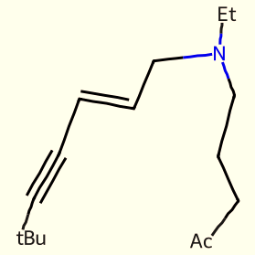 CCN(CC=CC#CC(C)(C)C)CCCC(C)=O